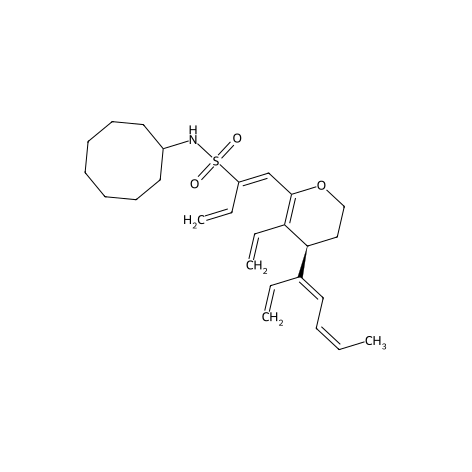 C=CC1=C(/C=C(\C=C)S(=O)(=O)NC2CCCCCCC2)OCC[C@H]1/C(C=C)=C/C=C\C